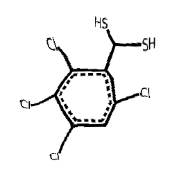 SC(S)c1c(Cl)cc(Cl)c(Cl)c1Cl